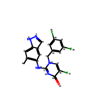 Cc1cc2[nH]ncc2cc1Nc1nc(=O)c(F)cn1Cc1cc(F)cc(F)c1